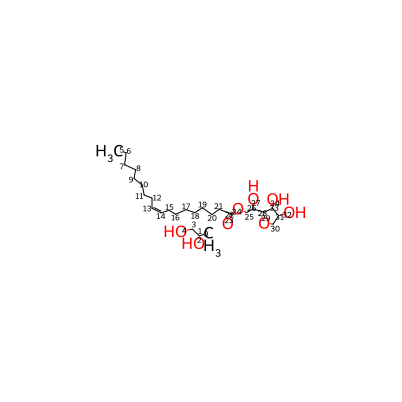 CC(O)CO.CCCCCCCC/C=C\CCCCCCCC(=O)OC[C@@H](O)[C@H]1OC[C@H](O)[C@H]1O